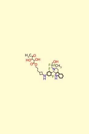 CC(=O)[C@H](O)[C@@H](O)C(=O)OCCCC1CC(Nc2cc(F)c([C@@H]3c4[nH]c5ccccc5c4C[C@@H](C)N3CC(F)(F)CO)c(F)c2)C1